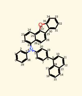 c1ccc(N(c2ccc(-c3cccc4ccccc34)cc2)c2cccc3c2ccc2c4ccccc4oc32)cc1